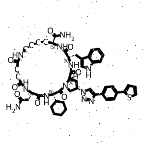 NC(=O)C[C@@H]1NC(=O)CCC(=O)NCCCC[C@@H](C(N)=O)NC(=O)[C@H](Cc2c[nH]c3ccccc23)NC(=O)[C@@H]2C[C@H](n3cc(-c4ccc(-c5cccs5)cc4)nn3)CN2C(=O)[C@H](C2CCCCC2)NC1=O